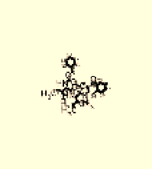 CCC(C)[C@H](NC(=O)OCc1ccccc1)C(=O)N[C@H](C(=O)N[C@@H](Cc1ccccc1)C(=O)[C@H]1CO1)C(C)CC